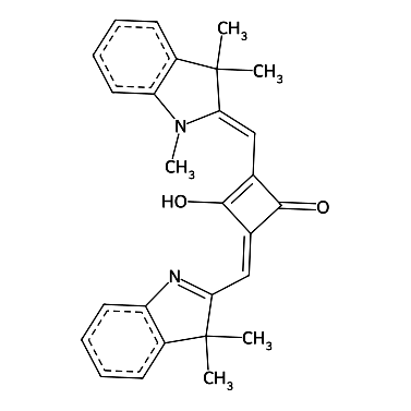 CN1/C(=C\C2=C(O)C(=CC3=Nc4ccccc4C3(C)C)C2=O)C(C)(C)c2ccccc21